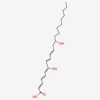 CCCCCCCCCC(O)C/C=C/C=C/C(O)=C/C=C/C=C/C(=O)O